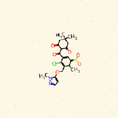 CC1C(COc2ccnn2C)=C(Cl)C(C(=O)C2C(=O)CC(C)(C)CC2=O)=CC1=S(=O)=O